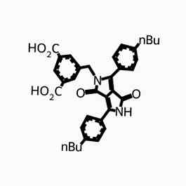 CCCCc1ccc(C2=C3C(=O)N(Cc4cc(C(=O)O)cc(C(=O)O)c4)C(c4ccc(CCCC)cc4)=C3C(=O)N2)cc1